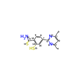 Cc1cc(C)nc(-c2ccc(C(N)=S)c(S)c2)n1